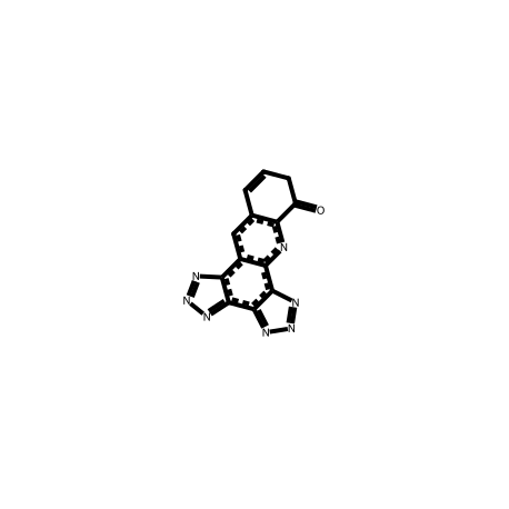 O=C1CC=Cc2cc3c4c(c5c(c3nc21)N=NN=5)=NN=N4